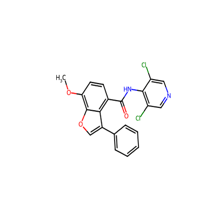 COc1ccc(C(=O)Nc2c(Cl)cncc2Cl)c2c(-c3ccccc3)coc12